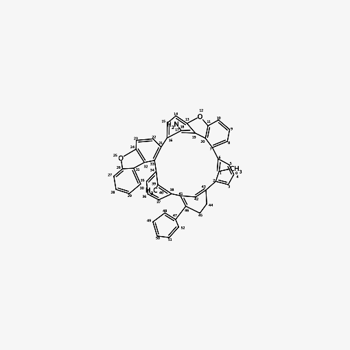 Cc1c2cccc1c1cccc3oc4ccc(c(N)c4c31)c1ccc3oc4ccccc4c3c1c1cccc(c1C)c1cc2CCC=1c1ccccc1